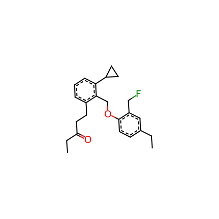 CCC(=O)CCc1cccc(C2CC2)c1COc1ccc(CC)cc1CF